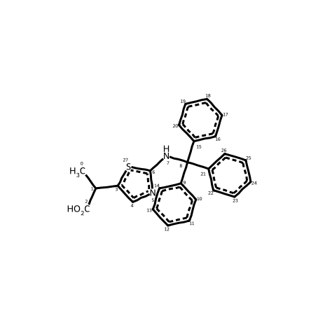 CC(C(=O)O)c1cnc(NC(c2ccccc2)(c2ccccc2)c2ccccc2)s1